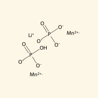 O=P([O-])([O-])O.O=P([O-])([O-])[O-].[Li+].[Mn+2].[Mn+2]